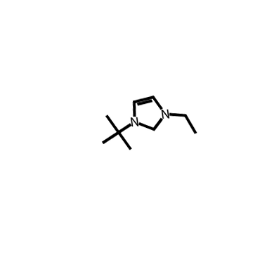 CCN1C=CN(C(C)(C)C)C1